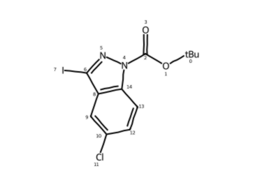 CC(C)(C)OC(=O)n1nc(I)c2cc(Cl)ccc21